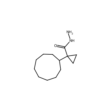 NNC(=O)C1(C2CCCCCCCC2)CC1